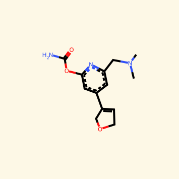 CN(C)Cc1cc(C2=CCOC2)cc(OC(N)=O)n1